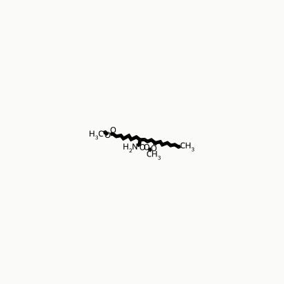 CCCCCCCC(CCCC(CCCCCCC(=O)OCC)C(N)=O)OC(C)=O